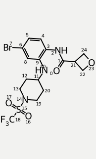 O=C(Nc1ccc(Br)cc1NC1CCN(S(=O)(=O)C(F)(F)F)CC1)C1COC1